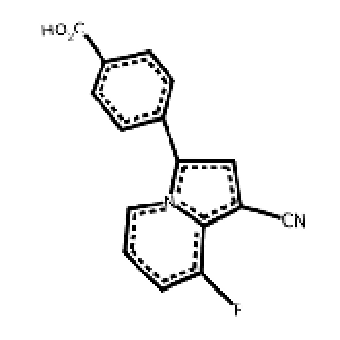 N#Cc1cc(-c2ccc(C(=O)O)cc2)n2cccc(F)c12